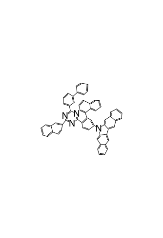 c1ccc(-c2cccc(-c3nc(-c4ccc5ccccc5c4)nc(-c4ccc(-n5c6cc7ccccc7cc6c6cc7ccccc7cc65)cc4-c4cccc5ccccc45)n3)c2)cc1